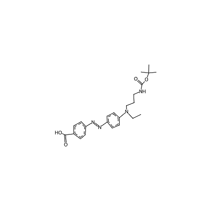 CCN(CCCNC(=O)OC(C)(C)C)c1ccc(/N=N/c2ccc(C(=O)O)cc2)cc1